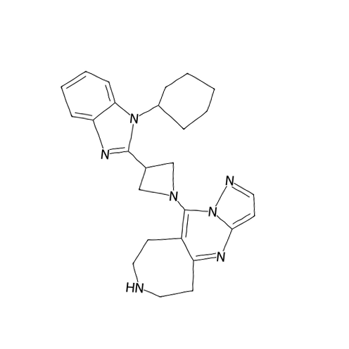 c1ccc2c(c1)nc(C1CN(c3c4c(nc5ccnn35)CCNCC4)C1)n2C1CCCCC1